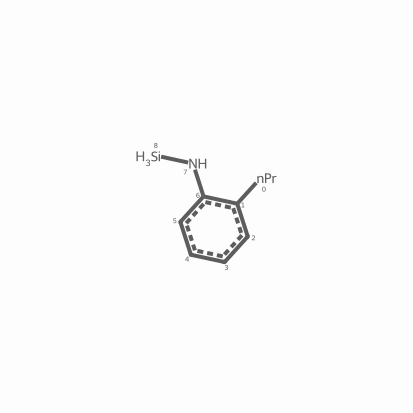 CCCc1ccccc1N[SiH3]